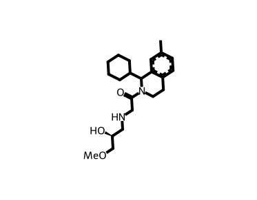 COC[C@@H](O)CNCC(=O)N1CCc2ccc(C)cc2C1C1CCCCC1